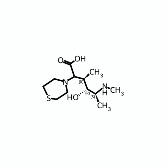 CN[C@@H](C)[C@H](O)[C@H](C)C(C(=O)O)N1CCSCC1